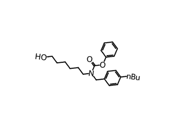 CCCCc1ccc(CN(CCCCCCO)C(=O)Oc2ccccc2)cc1